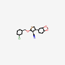 N#Cc1c(-c2ccc3c(c2)OCO3)csc1OCc1cccc(Cl)c1